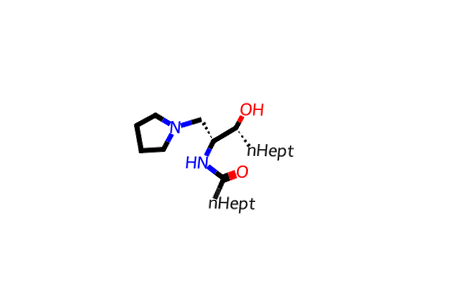 CCCCCCCC(=O)N[C@H](CN1CCCC1)[C@H](O)CCCCCCC